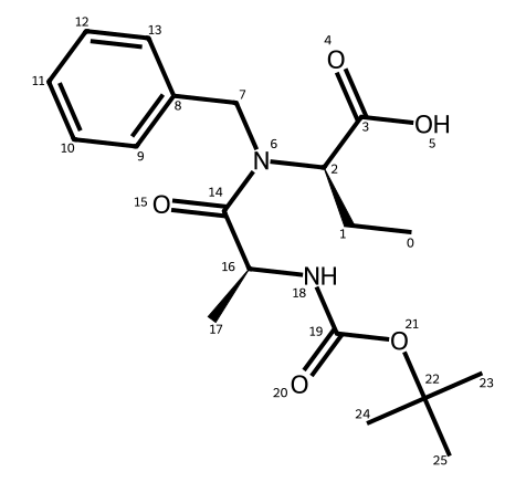 CC[C@H](C(=O)O)N(Cc1ccccc1)C(=O)[C@H](C)NC(=O)OC(C)(C)C